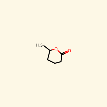 O=C1CCCC([SiH3])O1